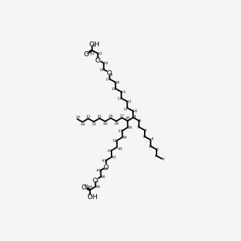 CCCCCCCCCC(CCCCCCCCOCCOCC(=O)O)C(CCCCCCCCC)CCCCCCCCOCCOCC(=O)O